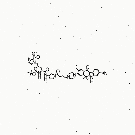 CCc1cc2c(cc1N1CCN(CCCC(=O)N3CC[C@@H](NC(=O)[C@H](CCCn4ccnc4[N+](=O)[O-])NC(=O)OC(C)(C)C)C3)CC1)C(C)(C)c1[nH]c3cc(C#N)ccc3c1C2=O